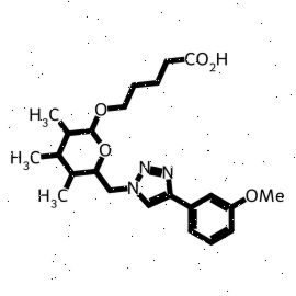 COc1cccc(-c2cn(CC3OC(OCCCCC(=O)O)C(C)C(C)C3C)nn2)c1